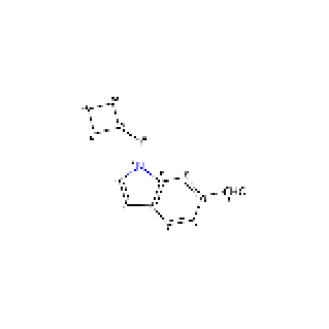 O=Cc1ccc2ccn(CC3CCC3)c2c1